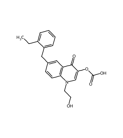 CCc1ccccc1Cc1ccc2c(c1)c(=O)c(OC(=O)O)cn2CCO